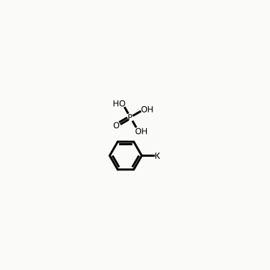 O=P(O)(O)O.[K][c]1ccccc1